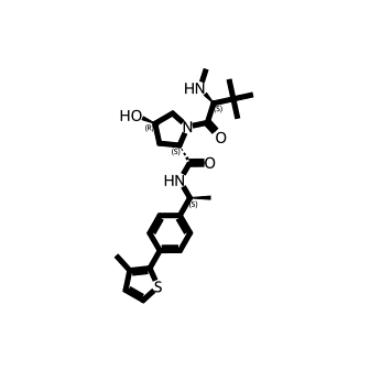 CN[C@H](C(=O)N1C[C@H](O)C[C@H]1C(=O)N[C@@H](C)c1ccc(-c2sccc2C)cc1)C(C)(C)C